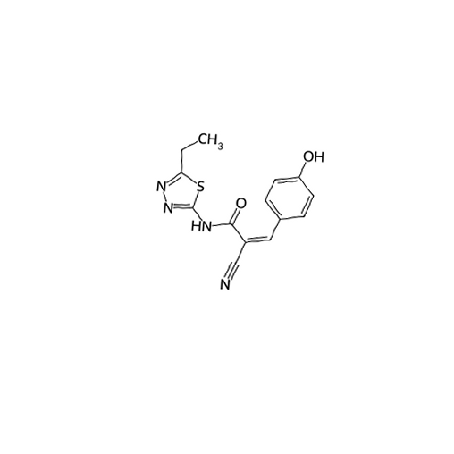 CCc1nnc(NC(=O)C(C#N)=Cc2ccc(O)cc2)s1